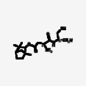 CC12CCC(C1)C(C)(C)C2OC(=O)C[C@H](N)C(=O)N[C@H](CO)C(=O)O